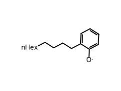 CCCCCCCCCCc1ccccc1[O]